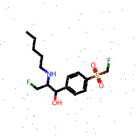 CCCCCNC(CF)C(O)c1ccc(S(=O)(=O)CF)cc1